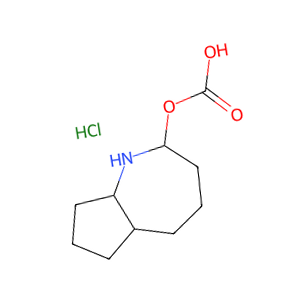 Cl.O=C(O)OC1CCCC2CCCC2N1